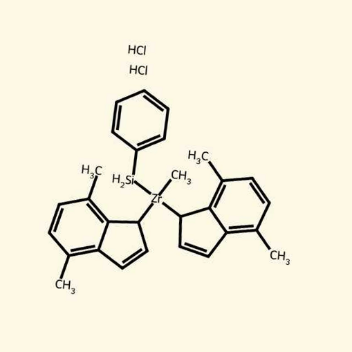 Cc1ccc(C)c2c1C=C[CH]2[Zr]([CH3])([SiH2]c1ccccc1)[CH]1C=Cc2c(C)ccc(C)c21.Cl.Cl